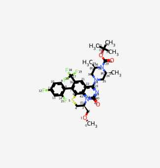 COC[C@H]1CSc2c(-c3ccc(F)cc3F)c(C(F)(F)F)cc3c(N4C[C@@H](C)N(C(=O)OC(C)(C)C)[C@H](C)C4)nc(=O)n1c23